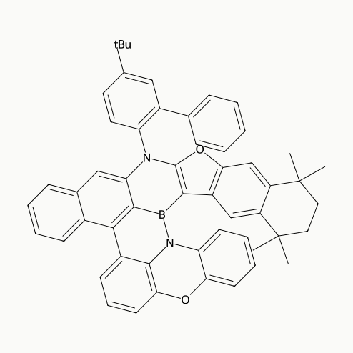 CC(C)(C)c1ccc(N2c3cc4ccccc4c4c3B(c3c2oc2cc5c(cc32)C(C)(C)CCC5(C)C)N2c3ccccc3Oc3cccc-4c32)c(-c2ccccc2)c1